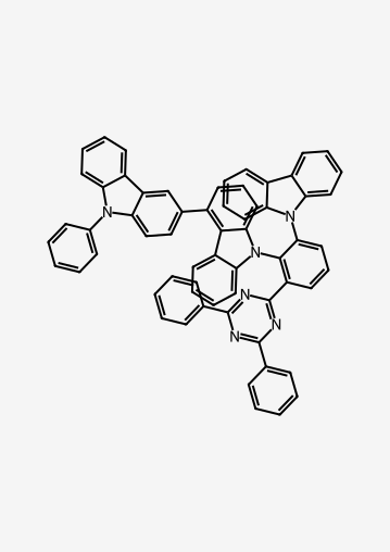 c1ccc(-c2nc(-c3ccccc3)nc(-c3cccc(-n4c5ccccc5c5ccccc54)c3-n3c4ccccc4c4c(-c5ccc6c(c5)c5ccccc5n6-c5ccccc5)cccc43)n2)cc1